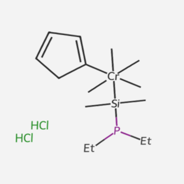 CCP(CC)[Si](C)(C)[Cr]([CH3])([CH3])([CH3])([CH3])[C]1=CC=CC1.Cl.Cl